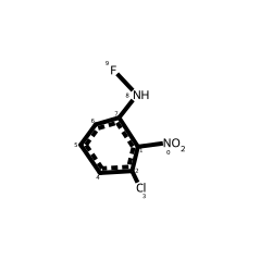 O=[N+]([O-])c1c(Cl)cccc1NF